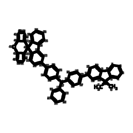 CC1(C)c2ccccc2-c2ccc(-c3ccc(N(c4ccccc4)c4ccc(-c5ccc6c(c5)-c5ccccc5C65c6ccccc6Oc6ccccc65)cc4)cc3)cc21